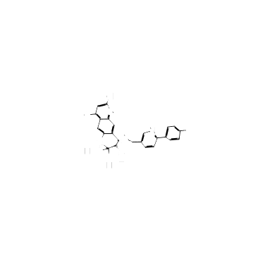 Cc1cc(Cl)nc2cc3c(cc12)OC(C)(C)[C@H](O)[C@H]3NCc1ccc(-c2ccc(Cl)cc2)nc1